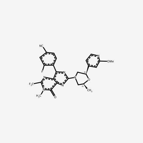 COc1cc([C@@H]2CN(c3nc(-c4ccc(C#N)cc4F)c4nc(C(F)(F)F)n(C)c(=O)c4n3)C[C@H](C)O2)ccn1